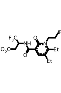 CCc1cc(C(=O)NC(CC(=O)O)C(F)(F)F)c(=O)n(CCC(C)C)c1CC